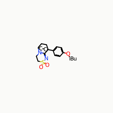 CCC(C)Oc1ccc(C23CCC(CC2)N2CCS(=O)(=O)N=C23)cc1